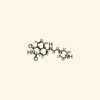 O=C1NC(=O)c2ccc(NCCN3CCNCC3)c3cccc1c23